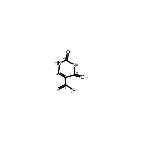 C=C(Br)C1=CNC(=O)[N]C1=O